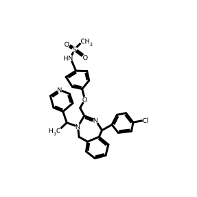 CC(c1ccncc1)N1Cc2ccccc2C(c2ccc(Cl)cc2)N=C1COc1ccc(NS(C)(=O)=O)cc1